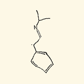 CC(C)N=C[CH]c1ccccc1